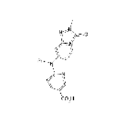 CC(C)N(c1ccn2c(=O)n(C)nc2c1)c1ccc(C(=O)O)cn1